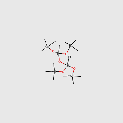 [CH2]C[Si](O[Si](C)(C)C)(O[Si](C)(C)C)O[Si](C)(O[Si](C)(C)C)O[Si](C)(C)C